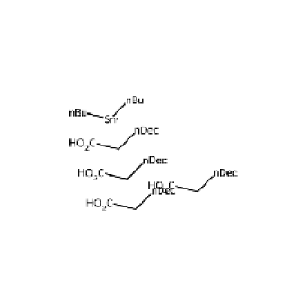 CCCCCCCCCCCC(=O)O.CCCCCCCCCCCC(=O)O.CCCCCCCCCCCC(=O)O.CCCCCCCCCCCC(=O)O.CCC[CH2][Sn][CH2]CCC